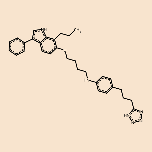 CCCc1c(OCCCCNc2ccc(CCCc3nnn[nH]3)cc2)ccc2c(-c3ccccc3)c[nH]c12